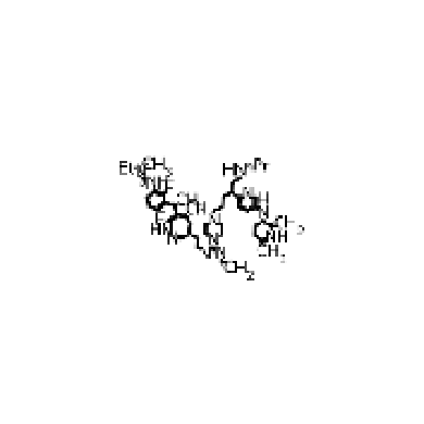 C=C/N=C(\N=C/CC1=C/C(=C)/C(C(=C)C2=C(F)CCC(NSN(C)CC)=C2F)=C\N/N=C\1)N1CCN(CCCC(CCNCCC)c2ccc(NC3CCC(=C)NC3=C)cn2)CC1